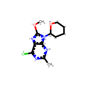 COc1nc2c(Cl)nc(C)nc2n1C1CCCCO1